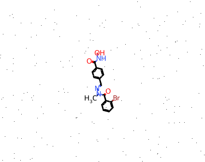 CN(/N=C/c1ccc(C(=O)NO)cc1)C(=O)c1ccccc1Br